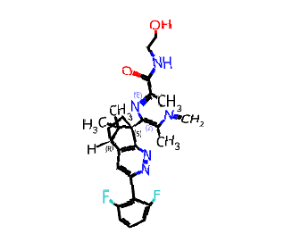 C=N/C(C)=C(\N=C(/C)C(=O)NCCO)[C@@]12CC[C@@H](c3cc(-c4c(F)cccc4F)nnc31)C2(C)C